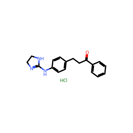 Cl.O=C(CCc1ccc(NC2=NCCN2)cc1)c1ccccc1